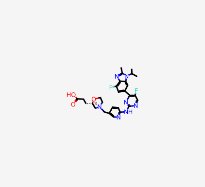 Cc1nc2c(F)cc(-c3nc(Nc4ccc(CN5CCO[C@@H](CCC(=O)O)C5)cn4)ncc3F)cc2n1C(C)C